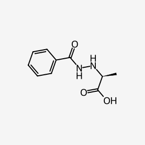 C[C@H](NNC(=O)c1ccccc1)C(=O)O